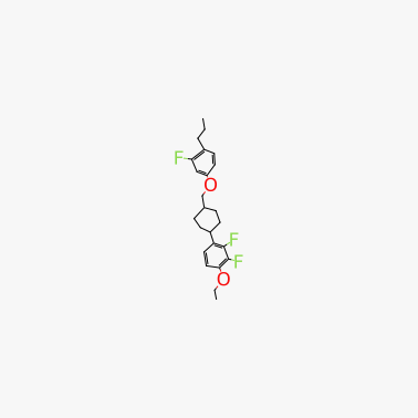 CCCc1ccc(OCC2CCC(c3ccc(OCC)c(F)c3F)CC2)cc1F